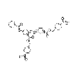 O=C(S[C@H]1C[C@@H](CS[C@H]2CCN(C(=O)OCc3ccc([N+](=O)[O-])cc3)C2)N(C(=O)OCc2ccc([N+](=O)[O-])cc2)C1)c1ccccc1